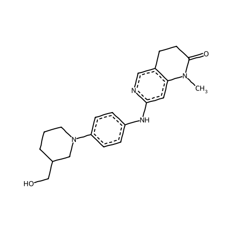 CN1C(=O)CCc2cnc(Nc3ccc(N4CCCC(CO)C4)cc3)cc21